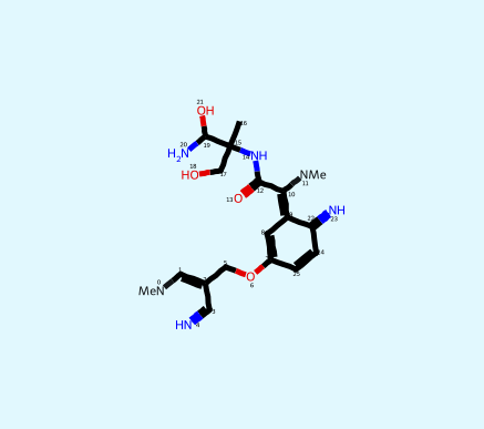 CN/C=C(\C=N)COC1=C/C(=C(/NC)C(=O)NC(C)(CO)C(N)O)C(=N)C=C1